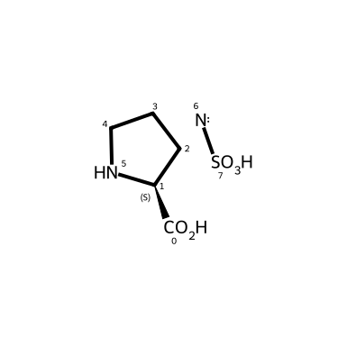 O=C(O)[C@@H]1CCCN1.[N]S(=O)(=O)O